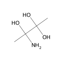 CC(N)(O)C(C)(O)O